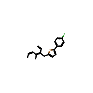 C=C/C(Cc1ccc(-c2ccc(F)cc2)s1)=C(C)\C=C/C